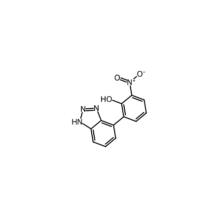 O=[N+]([O-])c1cccc(-c2cccc3[nH]nnc23)c1O